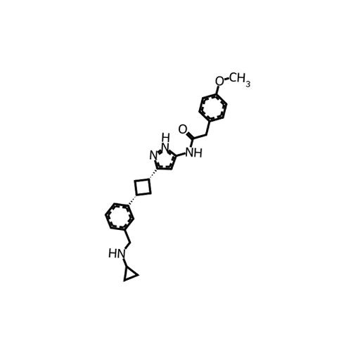 COc1ccc(CC(=O)Nc2cc([C@H]3C[C@@H](c4cccc(CNC5CC5)c4)C3)n[nH]2)cc1